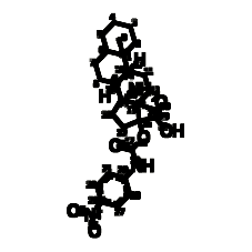 C[C@]12CCCCC1CC[C@@H]1[C@H]2CC[C@]2(C)C(OC(=O)Nc3ccc([N+](=O)[O-])cc3)(C(=O)O)CC[C@@]12N